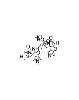 Cc1c([C@]2(CN(C(=O)O)C(C)(C)C)NC(=O)NC2=O)cnn1C.Cc1c([C@]2(CN)NC(=O)NC2=O)cnn1C.Cl